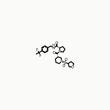 CC(F)(F)c1ccc(CNC(=O)[C@H]2CCCN2C(=O)[C@H]2CCCN(S(=O)(=O)C3CCOC3)C2)cc1